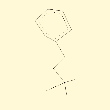 CC(C)(F)C[CH]c1ccccc1